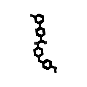 COc1ccc(CN2CCC(NC(=O)c3ccc(-c4cccc(F)c4)nc3)CC2)cc1